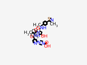 Cc1ncsc1-c1ccc([C@H](C)NC(=O)[C@@H]2C[C@@H](O)CN2C(=O)C(NC(=O)c2ccnc(N3CCN(C(=O)O)CC3)c2)C(C)(C)C)cc1